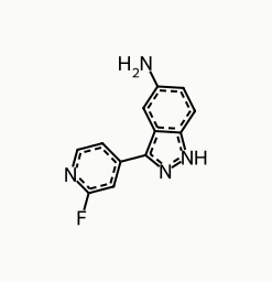 Nc1ccc2[nH]nc(-c3ccnc(F)c3)c2c1